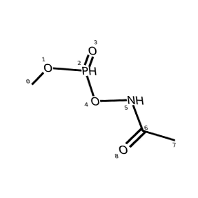 CO[PH](=O)ONC(C)=O